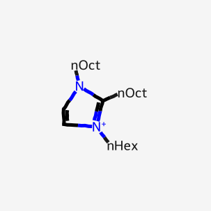 CCCCCCCCc1n(CCCCCCCC)cc[n+]1CCCCCC